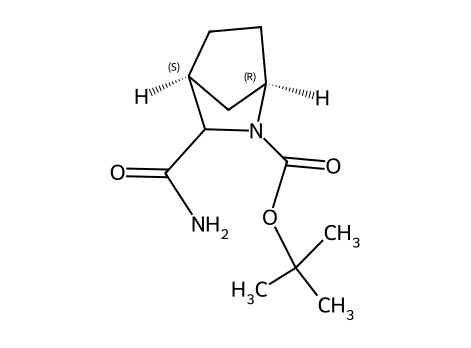 CC(C)(C)OC(=O)N1C(C(N)=O)[C@H]2CC[C@@H]1C2